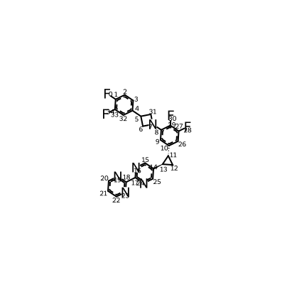 Fc1ccc(C2CN(c3cc([C@@H]4C[C@H]4c4cnc(-c5ncccn5)nc4)cc(F)c3F)C2)cc1F